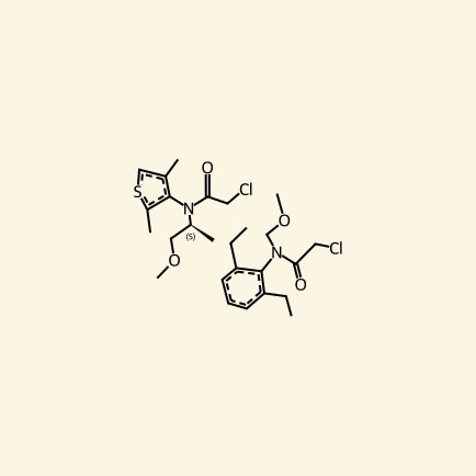 CCc1cccc(CC)c1N(COC)C(=O)CCl.COC[C@H](C)N(C(=O)CCl)c1c(C)csc1C